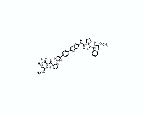 COC(=O)N[C@H](C(=O)N1CCC[C@H]1c1ncc(-c2ccc(-c3cn4cc(NC(=O)[C@@H]5CCCN5C(=O)[C@H](NC(=O)OC)c5ccccc5)sc4n3)cc2)[nH]1)C(C)C